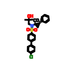 CC(C)(O)CN([C@]1(C(=O)O)C[C@H]1c1ccccc1)S(=O)(=O)c1ccc(-c2ccc(Cl)cc2)cc1